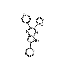 c1ccc(-c2cc3nc(-c4ccncc4)c(-c4ccco4)nc3[nH]2)cc1